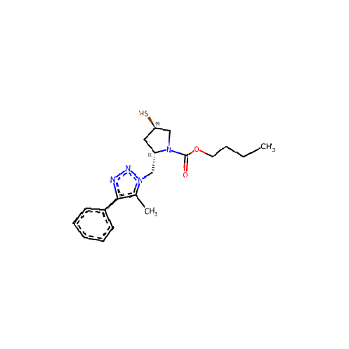 CCCCOC(=O)N1C[C@H](S)C[C@H]1Cn1nnc(-c2ccccc2)c1C